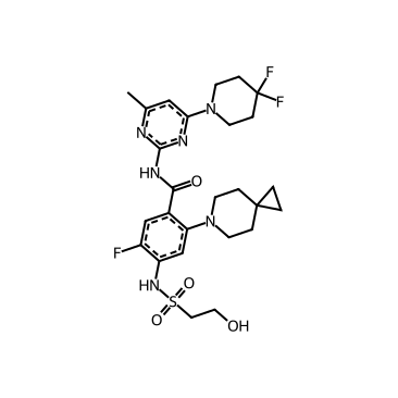 Cc1cc(N2CCC(F)(F)CC2)nc(NC(=O)c2cc(F)c(NS(=O)(=O)CCO)cc2N2CCC3(CC2)CC3)n1